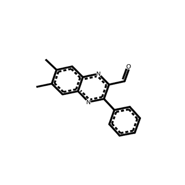 Cc1cc2nc(C=O)c(-c3ccccc3)nc2cc1C